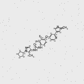 Cc1c(NC(=O)Nc2ccc(Oc3ccnc(-c4cnn(C)c4)c3)c(F)c2F)cnn1C1CCCC1